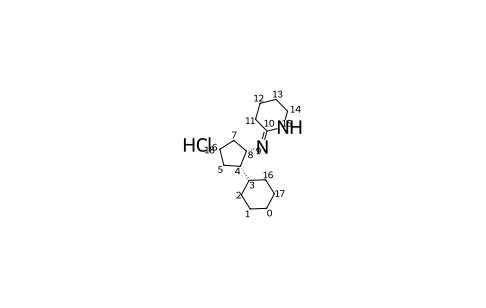 C1CCC([C@@H]2CCC[C@@H]2/N=C2\CCCCN2)CC1.Cl